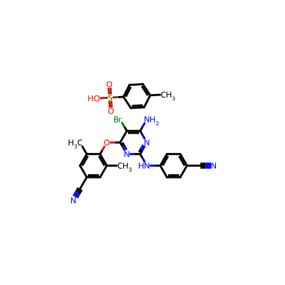 Cc1cc(C#N)cc(C)c1Oc1nc(Nc2ccc(C#N)cc2)nc(N)c1Br.Cc1ccc(S(=O)(=O)O)cc1